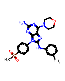 Cc1cccc(Nc2nc3c(N4CCOCC4)nc(N)nc3n2-c2ccc(S(C)(=O)=O)cc2)c1